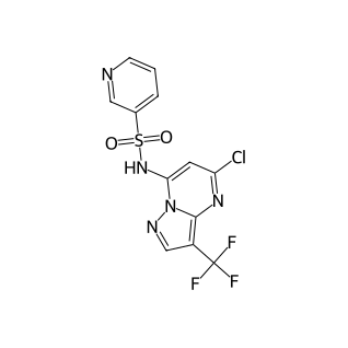 O=S(=O)(Nc1cc(Cl)nc2c(C(F)(F)F)cnn12)c1cccnc1